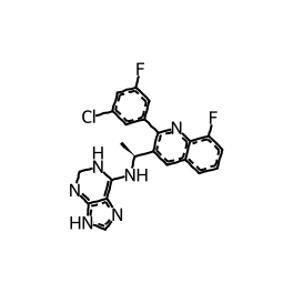 C[C@H](NC1=c2nc[nH]c2=NCN1)c1cc2cccc(F)c2nc1-c1cc(F)cc(Cl)c1